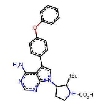 CC(C)(C)[C@@H]1C(n2cc(-c3ccc(Oc4ccccc4)cc3)c3c(N)ncnc32)CCN1C(=O)O